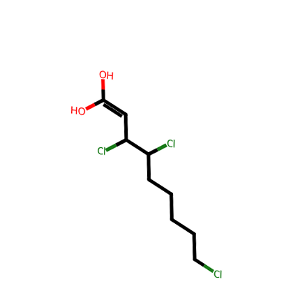 OC(O)=CC(Cl)C(Cl)CCCCCCl